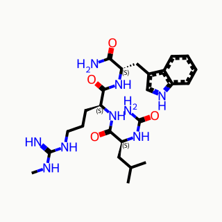 CNC(=N)NCCC[C@H](NC(=O)[C@H](CC(C)C)NC(N)=O)C(=O)N[C@@H](Cc1c[nH]c2ccccc12)C(N)=O